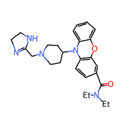 CCN(CC)C(=O)c1ccc2c(c1)Oc1ccccc1N2C1CCN(CC2=NCCN2)CC1